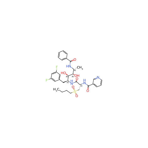 CCCCS(=O)(=O)C[C@@H](NC(=O)c1cccnc1)C(=O)N[C@@H](Cc1cc(F)cc(F)c1)[C@@H](O)[C@H](O)[C@@H](C)NC(=O)c1ccccc1